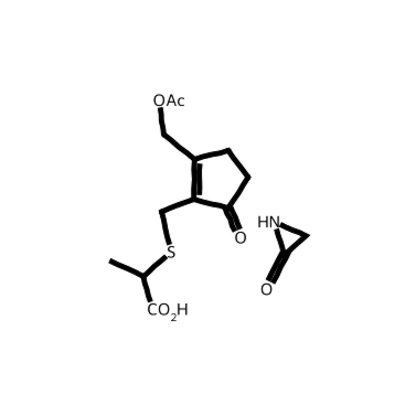 CC(=O)OCC1=C(CSC(C)C(=O)O)C(=O)CC1.O=C1CN1